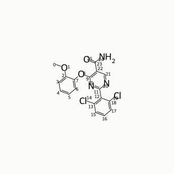 COc1ccccc1Oc1nc(-c2c(Cl)cccc2Cl)ncc1C(N)=O